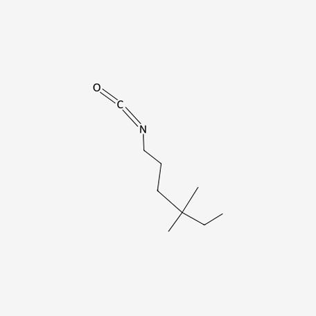 CCC(C)(C)CCCN=C=O